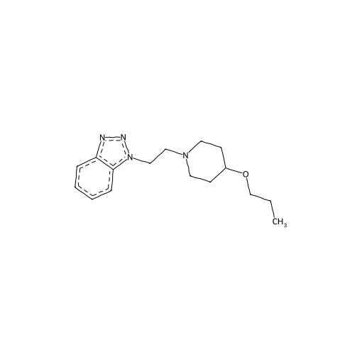 CCCOC1CCN(CCn2nnc3ccccc32)CC1